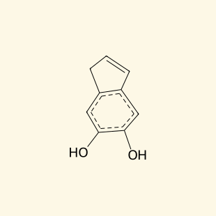 Oc1cc2c(cc1O)CC=C2